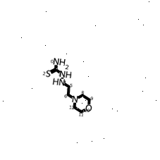 NC(=S)NNCCN1CCOCC1